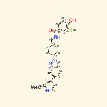 COc1cc(-c2ccc3cn([C@H]4CC[C@H](CNC(=O)c5cc(F)c(O)c(F)c5)CC4)nc3c2)ccn1